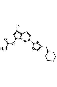 CCn1cc(OC(N)=O)c2cc(-c3nc(CN4CCOCC4)cs3)ccc21